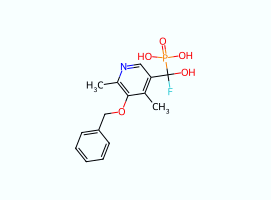 Cc1ncc(C(O)(F)P(=O)(O)O)c(C)c1OCc1ccccc1